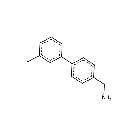 NCc1ccc(-c2cccc(F)c2)cc1